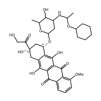 COc1cccc2c1C(=O)c1c(O)c3c(c(O)c1C2=O)C[C@@](O)(C(=O)CO)C[C@@H]3OC1CC(NC(C)OC2CCCCC2)C(O)C(C)O1